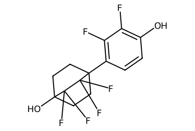 Oc1ccc(C23CCC(O)(CC2)C(F)(F)C3(F)F)c(F)c1F